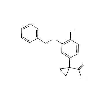 Cc1ccc(C2(C(=O)O)CC2)cc1OCc1ccccc1